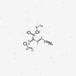 C=C(C=CC#N)C(=O)OCC.C=CCl